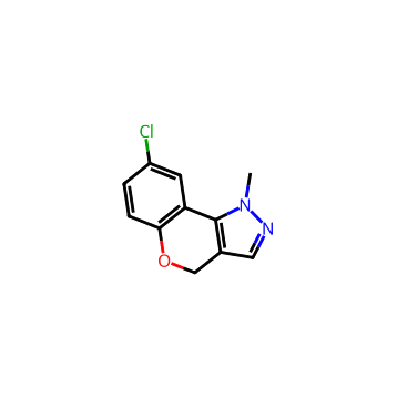 Cn1ncc2c1-c1cc(Cl)ccc1OC2